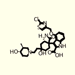 C[C@H]1CN(CCC2(O)CCC(C(N)=O)(c3c(C(=O)O)[nH]c4cccc(OCc5csc(Cl)n5)c34)CC2)CC[C@@H]1O